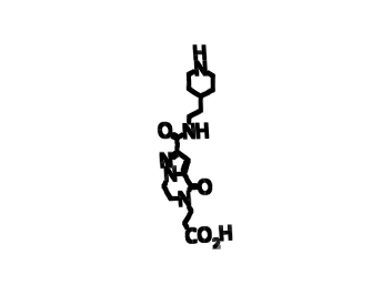 O=C(O)CCN1CCn2nc(C(=O)NCCC3CCNCC3)cc2C1=O